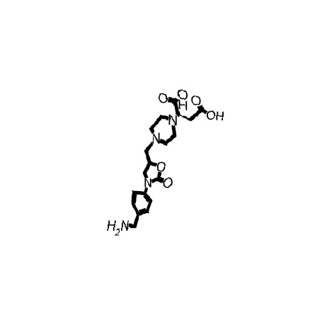 NCc1ccc(N2CC(CN3CCN([C@H](CC(=O)O)C(=O)O)CC3)OC2=O)cc1